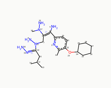 Cc1nc(/C(N)=C(\CN(N)/C(CC(C)C)=N\N)N(C)N)ccc1OC1CCCCC1